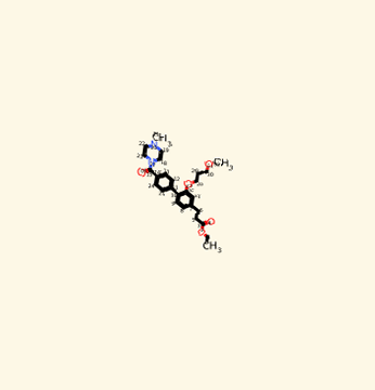 CCOC(=O)CCc1ccc(-c2ccc(C(=O)N3CCN(C)CC3)cc2)c(OCCCOC)c1